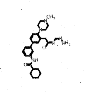 CN1CCN(c2ccc(-c3cccc(NC(=O)C4CCCCC4)c3)cc2C/C(Cl)=N\C=N/N)CC1